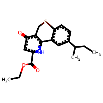 CCOC(=O)c1cc(=O)c2c([nH]1)-c1cc(C(C)CC)ccc1SC2